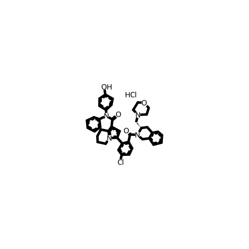 Cl.O=C(c1cc(-c2cc(Cl)ccc2C(=O)N2Cc3ccccc3C[C@H]2CN2CCOCC2)n2c1CCCC2)N(c1ccccc1)c1ccc(O)cc1